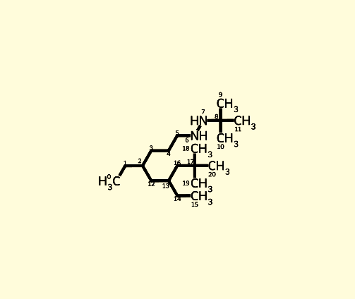 CCC(CCCNNC(C)(C)C)CC(CC)CC(C)(C)C